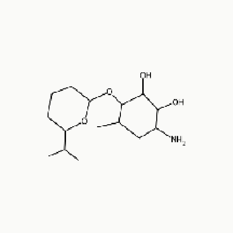 CC(C)C1CCCC(OC2C(C)CC(N)C(O)C2O)O1